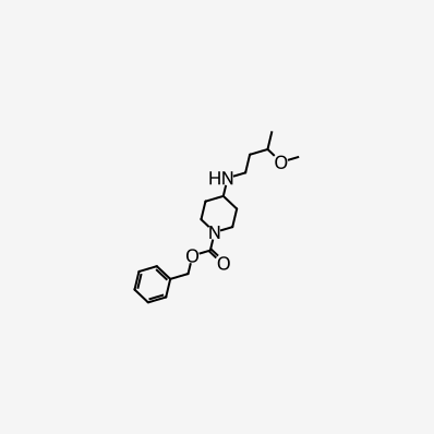 COC(C)CCNC1CCN(C(=O)OCc2ccccc2)CC1